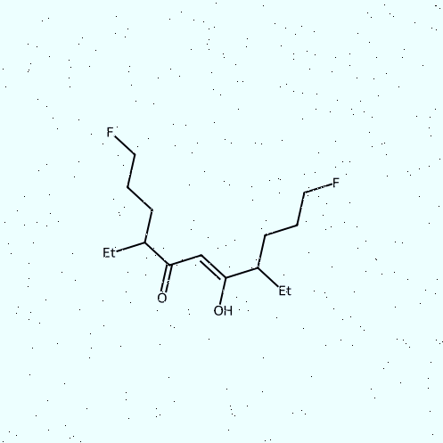 CCC(CCCF)C(=O)/C=C(\O)C(CC)CCCF